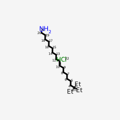 CCC(CC)(CC)CCCCCCCCCCCCCCCCCN.Cl